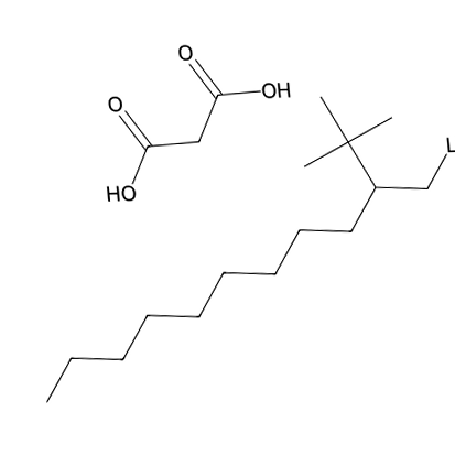 O=C(O)CC(=O)O.[Li][CH2]C(CCCCCCCCC)C(C)(C)C